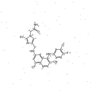 CCc1nc(CNc2cc(Cl)c3ncc(C#N)c(Nc4ccc(F)c(Cl)c4)c3c2)cn1CC(N)=O